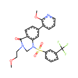 COCCN1CN(S(=O)(=O)c2cccc(C(F)(F)F)c2)c2cc(-c3cccnc3OC)ccc2C1=O